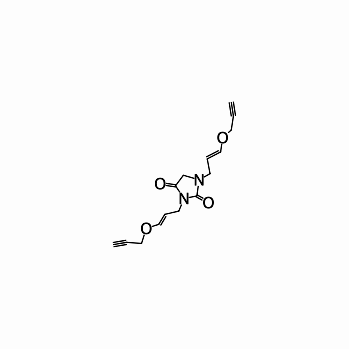 C#CCOC=CCN1CC(=O)N(CC=COCC#C)C1=O